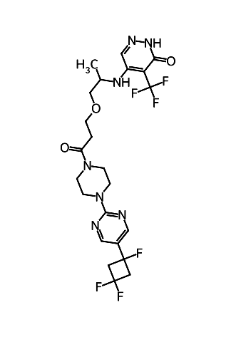 CC(COCCC(=O)N1CCN(c2ncc(C3(F)CC(F)(F)C3)cn2)CC1)Nc1cn[nH]c(=O)c1C(F)(F)F